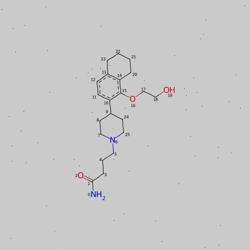 NC(=O)CCCN1CCC(c2ccc3c(c2OCCO)CCCC3)CC1